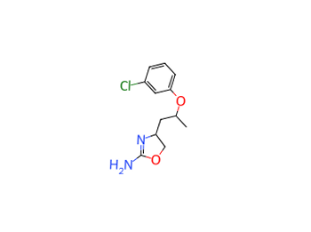 CC(CC1COC(N)=N1)Oc1cccc(Cl)c1